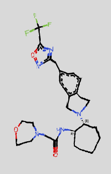 O=C(N[C@@H]1CCCC[C@H]1N1Cc2ccc(-c3noc(C(F)(F)F)n3)cc2C1)N1CCOCC1